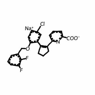 O=C([O-])c1cccc(C2=C(c3cc(Cl)ccc3OCc3cccc(F)c3F)CCC2)n1.[Na+]